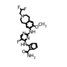 COc1cc2c(cc1Nc1ncc(F)c(NC3C4C=CC(C4)C3C(N)=O)n1)CCN(CC(F)F)CC2